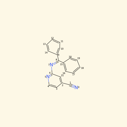 N#Cc1ccnc(N=C(c2ccccc2)c2ccccc2)c1